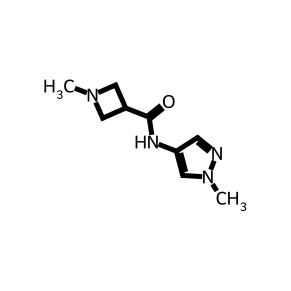 CN1CC(C(=O)Nc2cnn(C)c2)C1